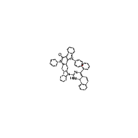 O=c1c2c3ccccc3n(-c3ccccc3)c2c2cc3c(cc2n1-c1ccccc1)c1ccccc1n3C1=NC(c2ccccc2)=C2C=Cc3ccccc3C2N1